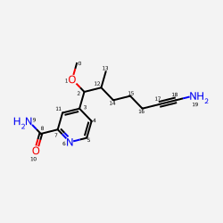 COC(c1ccnc(C(N)=O)c1)C(C)CCCC#CN